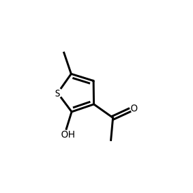 CC(=O)c1cc(C)sc1O